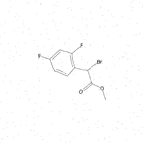 COC(=O)C(Br)c1ccc(F)cc1F